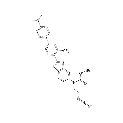 CN(C)c1ccc(-c2ccc(-c3nc4ccc(N(CCN=[N+]=[N-])C(=O)OC(C)(C)C)cc4s3)c(C(F)(F)F)c2)cn1